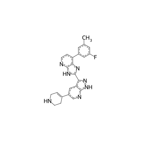 Cc1cc(F)cc(-c2ccnc3[nH]c(-c4n[nH]c5ncc(C6=CCNCC6)cc45)nc23)c1